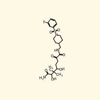 CC(C)(C(O)CCC(=O)C(=O)NCC1CCN(S(=O)(=O)c2cccc(F)c2)CC1)C(O)C(N)=O